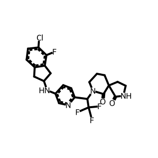 O=C1NCCC12CCCN(C(c1ccc(NC3Cc4ccc(Cl)c(F)c4C3)cn1)C(F)(F)F)C2=O